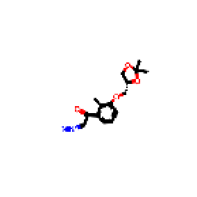 Cc1c(OC[C@@H]2COC(C)(C)O2)cccc1C(=O)C=[N+]=[N-]